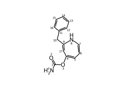 NC(=O)OC1=CC=CNC(Cc2ccccc2)=C1